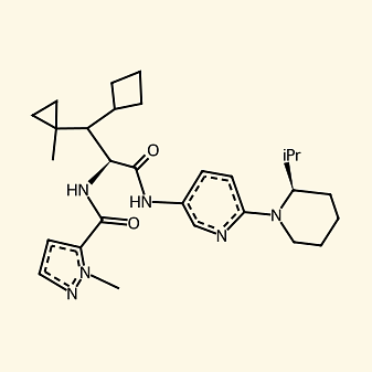 CC(C)[C@H]1CCCCN1c1ccc(NC(=O)[C@@H](NC(=O)c2ccnn2C)C(C2CCC2)C2(C)CC2)cn1